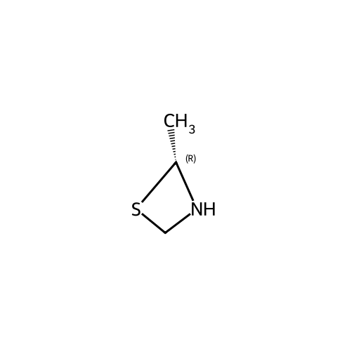 C[C@@H]1NCS1